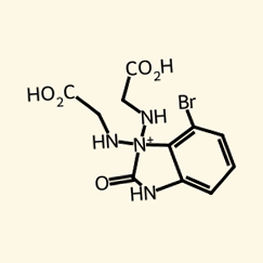 O=C(O)CN[N+]1(NCC(=O)O)C(=O)Nc2cccc(Br)c21